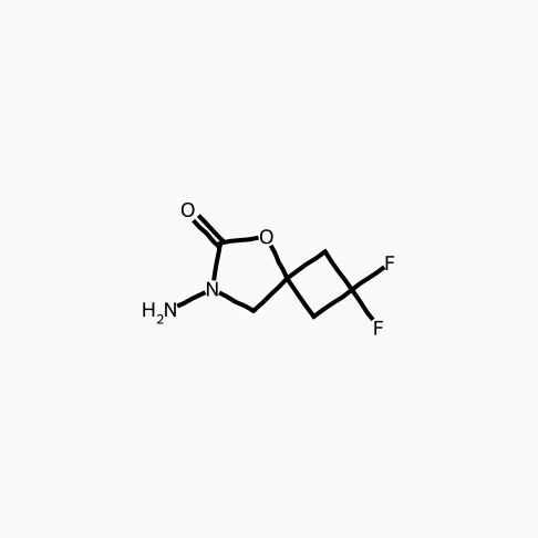 NN1CC2(CC(F)(F)C2)OC1=O